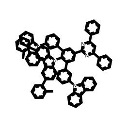 Cc1ccccc1-c1ccc2c(c1)c1cc(-c3ccccc3C)ccc1n2-c1c(-c2cccc(-n3c4ccccc4c4ccccc43)c2)cc(-c2nc(-c3ccccc3)cc(-c3ccccc3)n2)cc1-c1cccc(-n2c3ccccc3c3ccccc32)c1